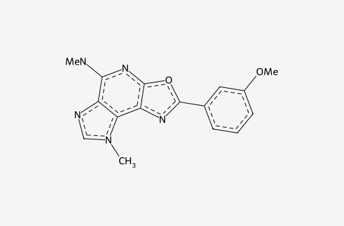 CNc1nc2oc(-c3cccc(OC)c3)nc2c2c1ncn2C